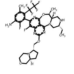 CC[C@@H]1CN2c3nc(OC[C@@H]4CC[C@H]5COCCN54)nc4c(F)c(-c5c(F)c(N)cc(C)c5C(F)(F)C(F)(F)F)nc(c34)O[C@@H](C)[C@@H]2CN1